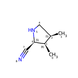 C[C@@H]1[C@H](C)CN[C@@H]1C#N